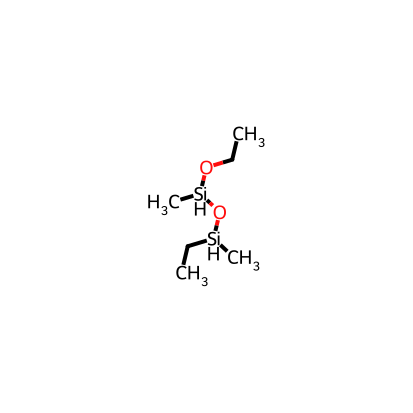 CCO[SiH](C)O[SiH](C)CC